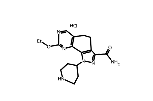 CCOc1ncc2c(n1)-c1c(c(C(N)=O)nn1C1CCNCC1)CC2.Cl